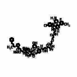 CCC(C)C(C(CC(=O)N1CCC[C@H]1CC(C)CCc1ccccc1)OC)N(C)C(=O)CNC(=O)C(C(C)C)N(C)C(=O)OCc1ccc(NC(=O)CNC(=O)C(NC(=O)CCOCCC(=O)NCCNC2NC=C(c3cc(C)cc(F)c3)C(N3CCC(N)CC3)=C2c2nc3ccc(Cl)cc3[nH]2)C(C)C)c(OC2CC(O)CC(C(=O)O)O2)c1